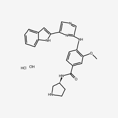 COc1cc(C(=O)N[C@H]2CCNC2)ccc1Nc1cncc(-c2cc3ccccc3[nH]2)n1.Cl.Cl